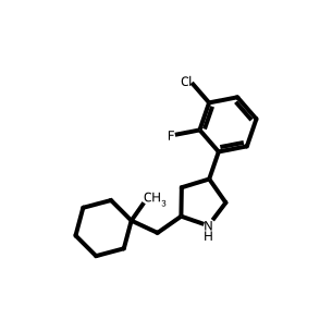 CC1(CC2CC(c3cccc(Cl)c3F)CN2)CCCCC1